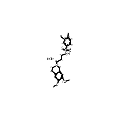 COc1cc2c(cc1OC)CN(CCCNS(=O)(=O)c1ccc(C)c(C)c1)CC2.Cl